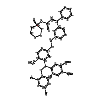 COc1ccc(C(Cc2c(Cl)c[n+]([O-])cc2Cl)c2nc(COc3cccc([C@@H](NC(=O)O[C@H]4CN5CCC4CC5)c4ccccc4)c3)ccc2C(=O)O)cc1OC